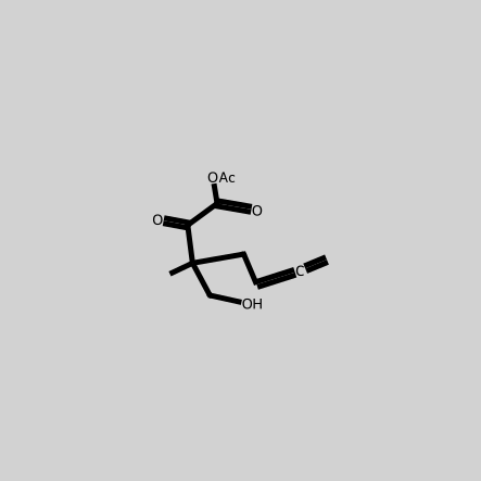 C=C=CCC(C)(CO)C(=O)C(=O)OC(C)=O